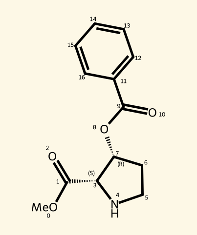 COC(=O)[C@H]1NCC[C@H]1OC(=O)c1ccccc1